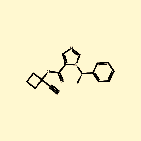 C#CC1(OC(=O)c2cncn2[C@H](C)c2ccccc2)CCC1